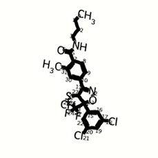 CCCCNC(=O)c1ccc(C2=NOC(c3cc(Cl)cc(Cl)c3)(C(F)(F)F)C2SC)cc1C